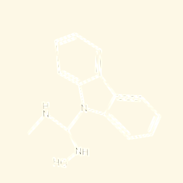 CNC(NO)n1c2ccccc2c2ccccc21